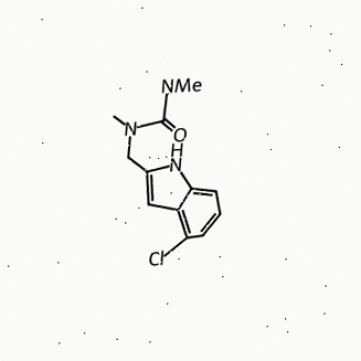 CNC(=O)N(C)Cc1cc2c(Cl)cccc2[nH]1